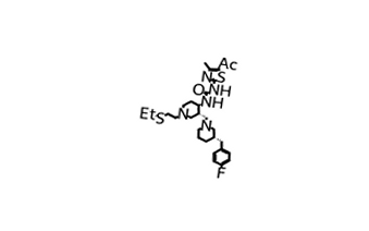 CCSCCN1CC[C@@H](NC(=O)Nc2nc(C)c(C(C)=O)s2)[C@H](CN2CCC[C@@H](Cc3ccc(F)cc3)C2)C1